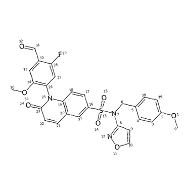 COc1ccc(CN(c2ccon2)S(=O)(=O)c2ccc3c(ccc(=O)n3-c3cc(F)c(C=O)cc3OC)c2)cc1